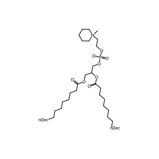 CCCCCCCCCCCCCCCCCC(=O)OCC(COP(=O)([O-])OCC[N+]1(C)CCCCC1)OC(=O)CCCCCCCCCCCCCCCCC